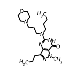 CCCCN(CCCN1CCOCC1)c1nc2c(CCC)nn(C)c2c(=O)[nH]1